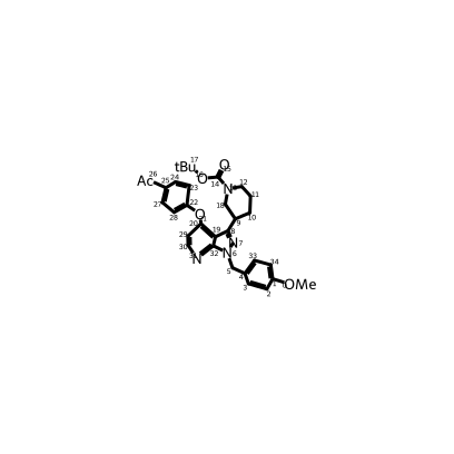 COc1ccc(Cn2nc(C3CCCN(C(=O)OC(C)(C)C)C3)c3c(Oc4ccc(C(C)=O)cc4)ccnc32)cc1